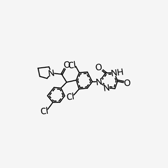 O=C(C(c1ccc(Cl)cc1)c1c(Cl)cc(-n2ncc(=O)[nH]c2=O)cc1Cl)N1CCCC1